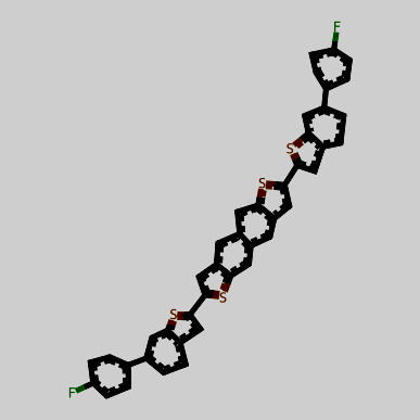 Fc1ccc(-c2ccc3cc(-c4cc5cc6cc7sc(-c8cc9ccc(-c%10ccc(F)cc%10)cc9s8)cc7cc6cc5s4)sc3c2)cc1